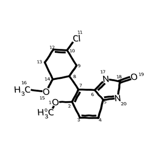 COc1ccc2c(c1C1CC(Cl)=CCC1OC)=NC(=O)N=2